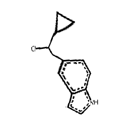 ClC(c1ccc2[nH]c[c]c2c1)C1CC1